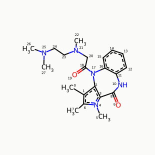 Cc1c2c(n(C)c1C)C(=O)Nc1ccccc1N2C(=O)CN(C)CCN(C)C